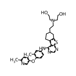 Cc1ccc(Oc2ccc(Nc3ncnc4sc5c(c34)CCC(CCN(CCO)CCO)C5)cc2C)cn1